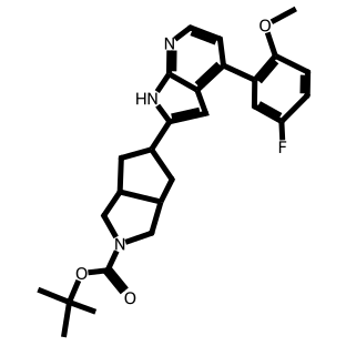 COc1ccc(F)cc1-c1ccnc2[nH]c(C3CC4CN(C(=O)OC(C)(C)C)CC4C3)cc12